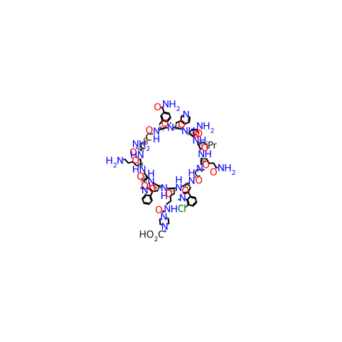 CC(C)C[C@@H]1NC(=O)[C@H](CC(N)=O)NC(=O)[C@H](Cc2cccnc2)N(C)C(=O)[C@@H](Cc2cccc(C(N)=O)c2)NC(=O)CSC[C@@H](C(N)=O)NC(=O)[C@H](CCCCN)NC(=O)[C@H]([C@@H](C)O)NC(=O)[C@H](Cc2cn(C)c3ccccc23)NC(=O)[C@H](CCCCNC(=O)N2CCN(CC(=O)O)CC2)NC(=O)[C@H](Cc2cn(C)c3c(Cl)cccc23)NC(=O)CN(C)C(=O)[C@H](CCCC(N)=O)NC1=O